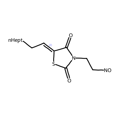 CCCCCCCC/C=C1\SC(=O)N(CCN=O)C1=O